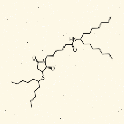 CCCCCCCC(CCCCCCC)NC(=O)CCCCCN1C(=O)CC(SC(CCCCC)CCCCC)C1=O